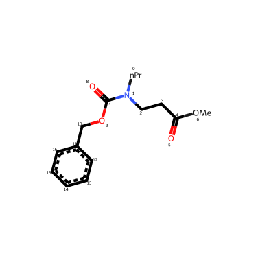 CCCN(CCC(=O)OC)C(=O)OCc1ccccc1